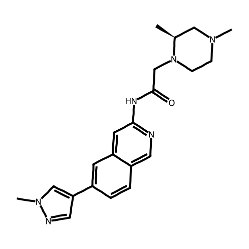 C[C@H]1CN(C)CCN1CC(=O)Nc1cc2cc(-c3cnn(C)c3)ccc2cn1